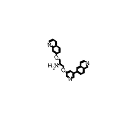 N[C@H](COc1cncc(-c2ccc3cnccc3c2)c1)COc1ccc2cccnc2c1